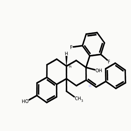 CCC12C/C(=C/c3ccccc3)C(O)(c3c(F)cccc3F)C[C@H]1CCc1cc(O)ccc12